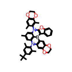 Cc1cc2c3c(c1)N(c1c(C)cc4c(c1C)OCCO4)c1oc4ccccc4c1B3c1cc3c(cc1N2c1c(C)cc(C(C)(C)C)cc1C)OCCO3